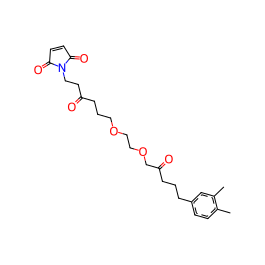 Cc1ccc(CCCC(=O)COCCOCCCC(=O)CCN2C(=O)C=CC2=O)cc1C